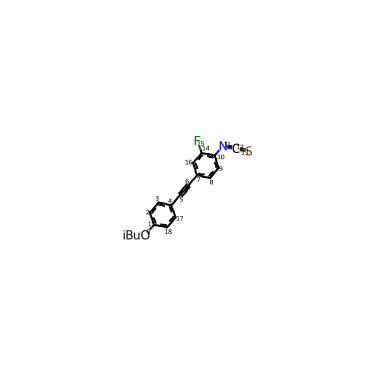 CC(C)COc1ccc(C#Cc2ccc(N=C=S)c(F)c2)cc1